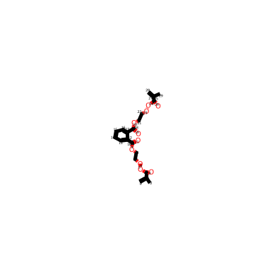 C=C(C)C(=O)OOCCOC(=O)c1ccccc1C(=O)OCCOOC(=O)C(=C)C